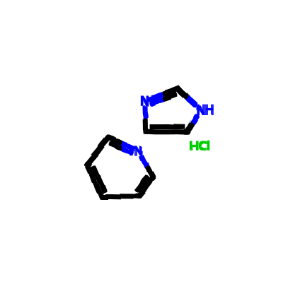 Cl.c1c[nH]cn1.c1ccncc1